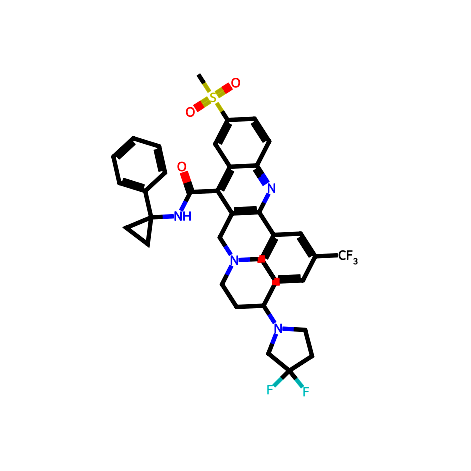 CS(=O)(=O)c1ccc2nc(-c3cccc(C(F)(F)F)c3)c(CN3CCC(N4CCC(F)(F)C4)CC3)c(C(=O)NC3(c4ccccc4)CC3)c2c1